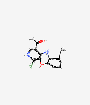 CNC(=O)c1cnc(Cl)c2c1Nc1c(cccc1SC)O2